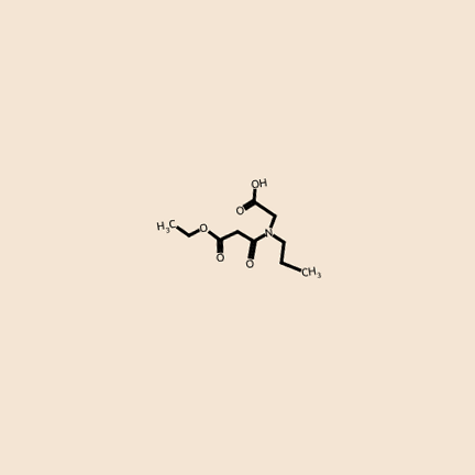 CCCN(CC(=O)O)C(=O)CC(=O)OCC